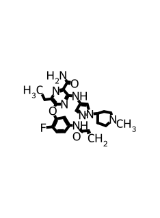 C=CC(=O)Nc1ccc(F)c(Oc2nc(Nc3cnn(C4CCN(C)CC4)c3)c(C(N)=O)nc2CC)c1